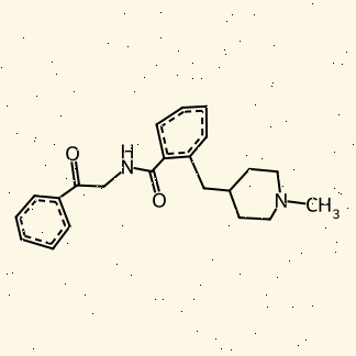 CN1CCC(Cc2ccccc2C(=O)NCC(=O)c2ccccc2)CC1